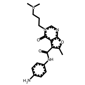 Cc1oc2ncn(CCCN(C)C)c(=O)c2c1C(=O)Nc1ccc(N)cc1